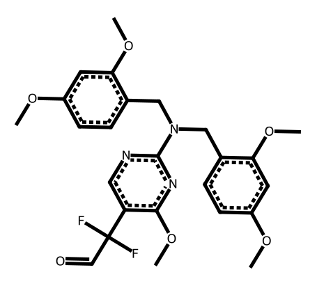 COc1ccc(CN(Cc2ccc(OC)cc2OC)c2ncc(C(F)(F)C=O)c(OC)n2)c(OC)c1